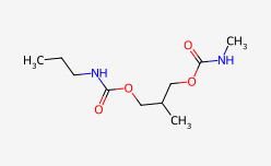 CCCNC(=O)OCC(C)COC(=O)NC